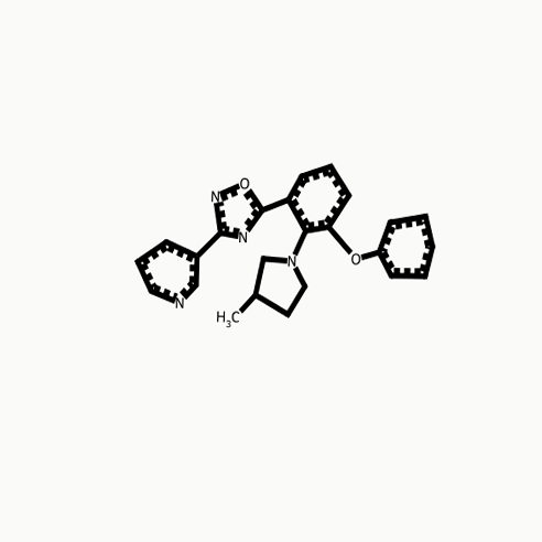 CC1CCN(c2c(Oc3ccccc3)cccc2-c2nc(-c3cccnc3)no2)C1